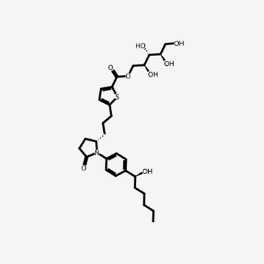 CCCCC[C@H](O)c1ccc(N2C(=O)CC[C@@H]2CCCc2ccc(C(=O)OC[C@H](O)[C@H](O)[C@H](O)CO)s2)cc1